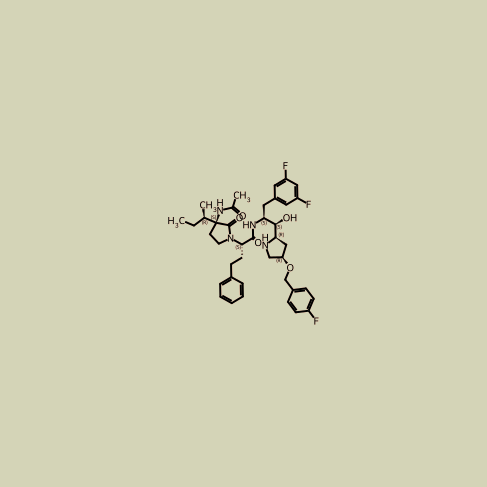 CC[C@@H](C)[C@@]1(NC(C)=O)CCN([C@@H](CCc2ccccc2)C(=O)N[C@@H](Cc2cc(F)cc(F)c2)[C@@H](O)[C@H]2C[C@@H](OCc3ccc(F)cc3)CN2)C1=O